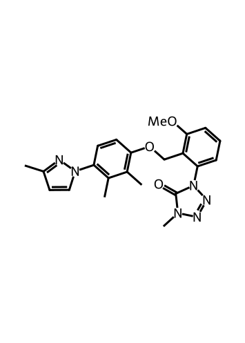 COc1cccc(-n2nnn(C)c2=O)c1COc1ccc(-n2ccc(C)n2)c(C)c1C